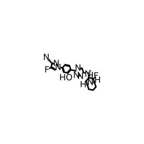 CN(c1cnc(-c2ccc(-n3cc(F)c(C#N)n3)cc2O)nn1)[C@H]1C[C@@H]2CCC[C@@H](N2)[C@H]1F